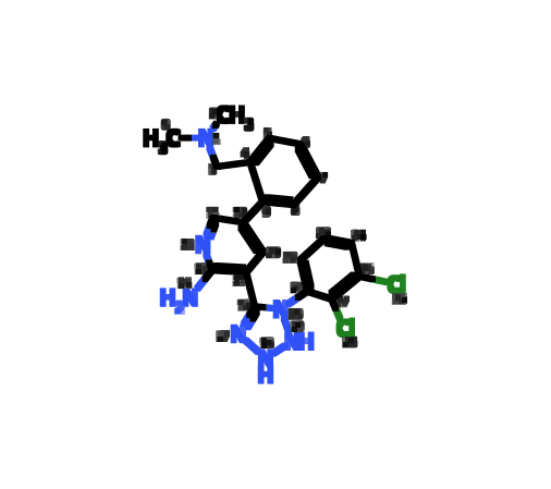 CN(C)Cc1ccccc1-c1cnc(N)c(C2=NNNN2c2cccc(Cl)c2Cl)c1